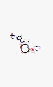 C/C(=C\c1cc(F)cc(N2CCC3(COC3)C2)c1)[C@H]1C(=O)C(=O)C[C@H](O)CC[C@H](C)[C@@H](OC(=O)N2CCN(C)CC2)/C=C/[C@@H]1C